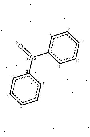 O=[As](c1ccccc1)c1ccccc1